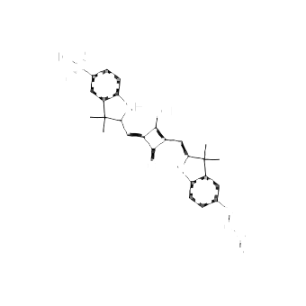 CC1(C)C(=CC2=C(O)C(=CC3Nc4ccc(S(=O)(=O)O)cc4C3(C)C)C2=O)Nc2ccc(SOOO)cc21